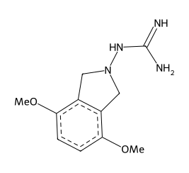 COc1ccc(OC)c2c1CN(NC(=N)N)C2